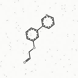 O=CCOc1cccc(-c2cccnc2)c1